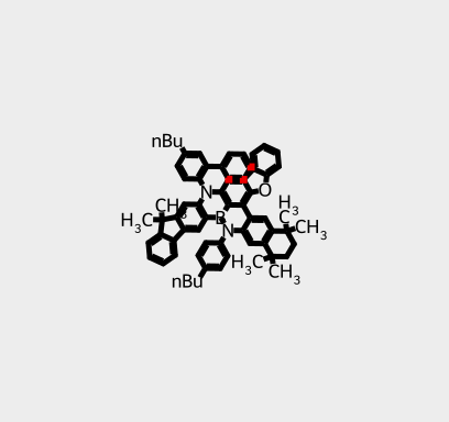 CCCCc1ccc(N2B3c4cc5c(cc4N(c4ccc(CCCC)cc4-c4ccccc4)c4cc6c(oc7ccccc76)c(c43)-c3cc4c(cc32)C(C)(C)CCC4(C)C)C(C)(C)c2ccccc2-5)cc1